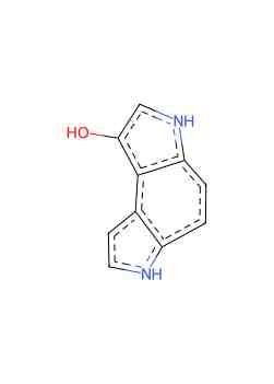 Oc1c[nH]c2ccc3[nH]ccc3c12